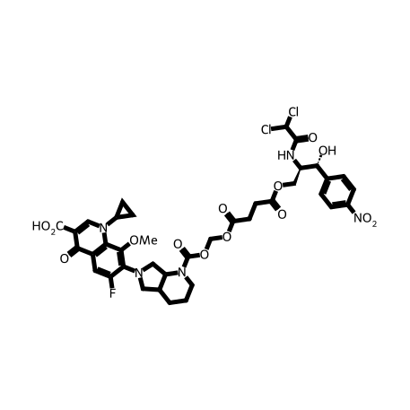 COc1c(N2CC3CCCN(C(=O)OCOC(=O)CCC(=O)OC[C@@H](NC(=O)C(Cl)Cl)[C@H](O)c4ccc([N+](=O)[O-])cc4)C3C2)c(F)cc2c(=O)c(C(=O)O)cn(C3CC3)c12